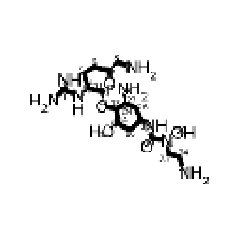 N=C(N)N[C@@H]1CC[C@@H](CN)O[C@@H]1OC1[C@H](O)C[C@H](NC(=O)N(O)CCN)C[C@@H]1N